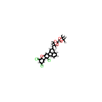 CC1(C)OB(B2OC(C)(C)C(C)(Cc3cc4c5c(cccc5c3)-c3c-4cc4oc5c(Cl)cc(Cl)cc5c4c3Cl)O2)OC1(C)C